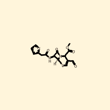 COC(=O)C1C(C=O)=CS[C@H]2C(NC(=O)Cc3cccs3)C(=O)N12